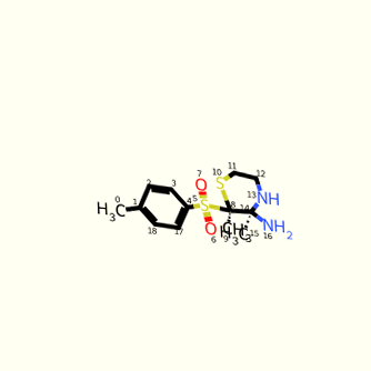 Cc1ccc(S(=O)(=O)[C@@]2(C)SCCN[C@@]2(C)N)cc1